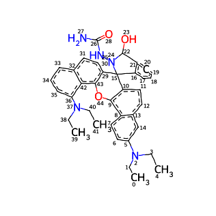 CCN(CC)c1ccc2c3c(ccc2c1)C1(c2ccccc2C(O)N1NC(N)=O)c1ccc2cccc(N(CC)CC)c2c1O3